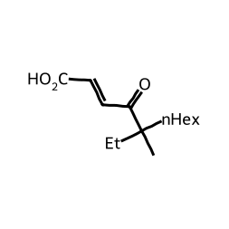 CCCCCCC(C)(CC)C(=O)/C=C/C(=O)O